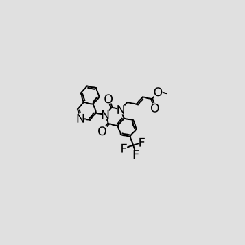 COC(=O)/C=C/Cn1c(=O)n(-c2cncc3ccccc23)c(=O)c2cc(C(F)(F)F)ccc21